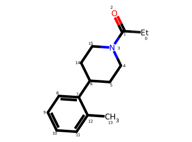 CCC(=O)N1CCC(c2ccccc2C)CC1